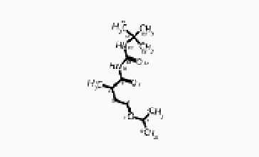 CC(C)OCCC(C)C(=O)NC(=O)NC(C)(C)C